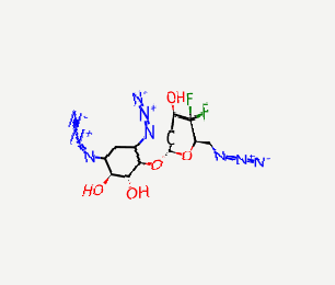 [N-]=[N+]=NC[C@H]1O[C@H](O[C@@H]2C(N=[N+]=[N-])CC(N=[N+]=[N-])[C@H](O)[C@H]2O)C[C@@H](O)C1(F)F